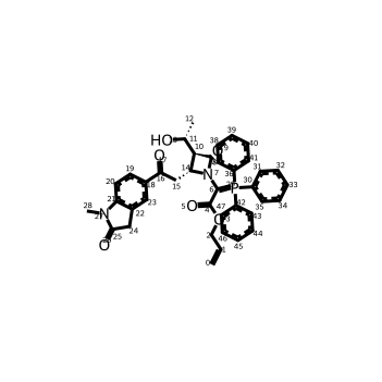 C=CCOC(=O)C(N1C(=O)[C@H]([C@@H](C)O)[C@H]1CC(=O)c1ccc2c(c1)CC(=O)N2C)=P(c1ccccc1)(c1ccccc1)c1ccccc1